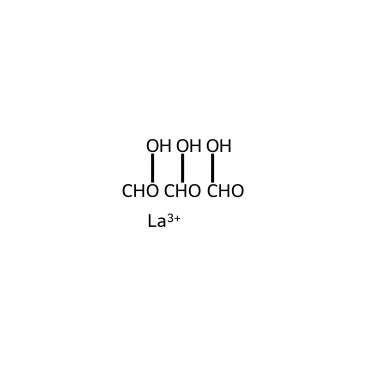 O=[C-]O.O=[C-]O.O=[C-]O.[La+3]